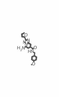 COc1ccc(CNC(=O)c2cc(N)n3nc(-c4ccco4)nc3c2)cc1